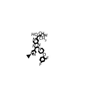 CC(C)(O)[C@@H](O)c1cc2nc(N3CCC(Oc4ccc(F)cc4F)CC3)c(-c3cnn(C4CC4)c3)nc2cn1